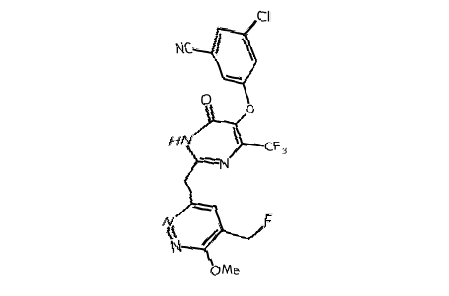 COc1nnc(Cc2nc(C(F)(F)F)c(Oc3cc(Cl)cc(C#N)c3)c(=O)[nH]2)cc1CF